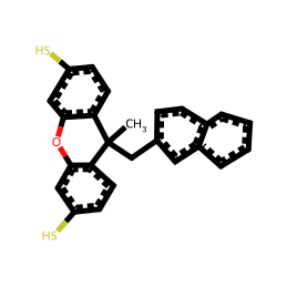 CC1(Cc2ccc3ccccc3c2)c2ccc(S)cc2Oc2cc(S)ccc21